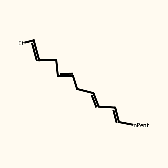 CCC=CCC=CCC=CC=CCCCCC